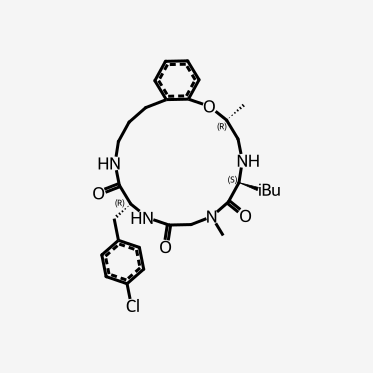 CCC(C)[C@@H]1NC[C@@H](C)Oc2ccccc2CCCNC(=O)[C@@H](Cc2ccc(Cl)cc2)NC(=O)CN(C)C1=O